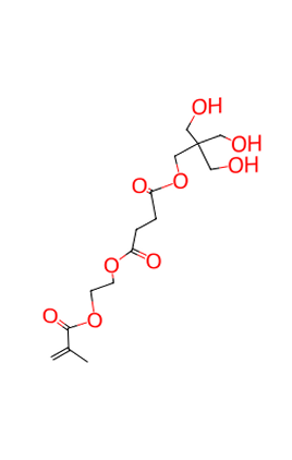 C=C(C)C(=O)OCCOC(=O)CCC(=O)OCC(CO)(CO)CO